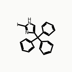 Ic1nc(C(c2ccccc2)(c2ccccc2)c2ccccc2)c[nH]1